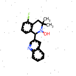 CC1(C)Cc2c(F)cccc2C(c2cnc3ccccc3c2)N1O